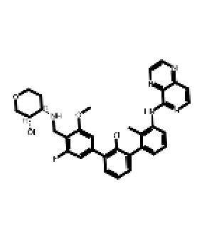 COc1cc(-c2cccc(-c3cccc(Nc4nccc5nccnc45)c3C)c2Cl)cc(F)c1CN[C@H]1CCOC[C@H]1O